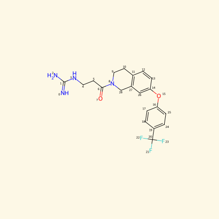 N=C(N)NCCC(=O)N1CCc2ccc(Oc3ccc(C(F)(F)F)cc3)cc2C1